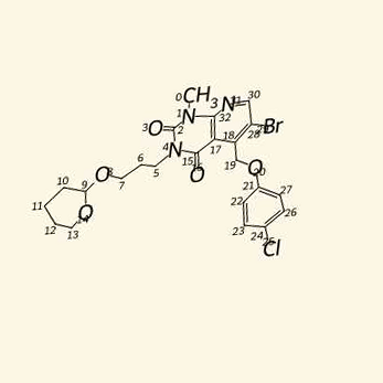 Cn1c(=O)n(CCCOC2CCCCO2)c(=O)c2c(COc3ccc(Cl)cc3)c(Br)cnc21